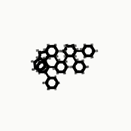 c1ccc(-c2ccccc2-c2cccc(-c3nnnc(-c4ccccc4)c3-c3ccccc3)c2-c2cccc3oc4ccccc4c23)cc1